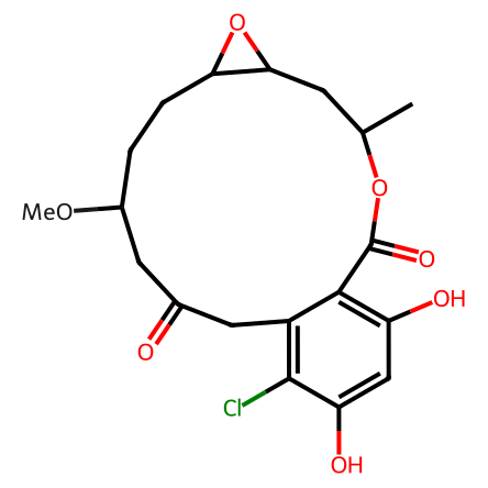 COC1CCC2OC2CC(C)OC(=O)c2c(O)cc(O)c(Cl)c2CC(=O)C1